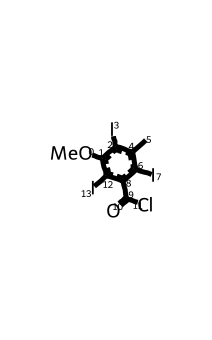 COc1c(I)c(C)c(I)c(C(=O)Cl)c1I